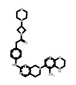 Cc1c(N2CCc3cnc(Nc4ccc(CC(=O)N5CC(N6CCOCC6)C5)cc4)nc3C2)cnc2c1NCCO2